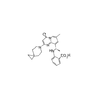 Cc1cc([C@@H](C)Nc2ccccc2C(=O)O)c2nc(N3CCC4(CC3)CC4)cc(=O)n2c1